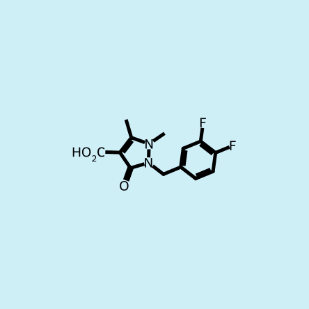 Cc1c(C(=O)O)c(=O)n(Cc2ccc(F)c(F)c2)n1C